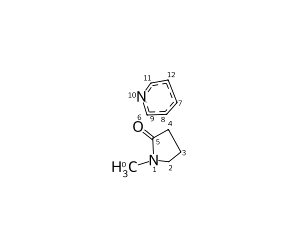 CN1CCCC1=O.c1ccncc1